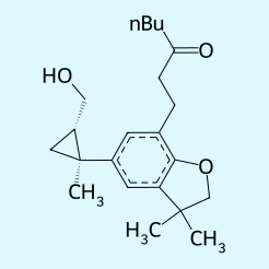 CCCCC(=O)CCc1cc([C@@]2(C)C[C@@H]2CO)cc2c1OCC2(C)C